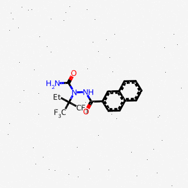 CCC(N(NC(=O)c1ccc2ccccc2c1)C(N)=O)(C(F)(F)F)C(F)(F)F